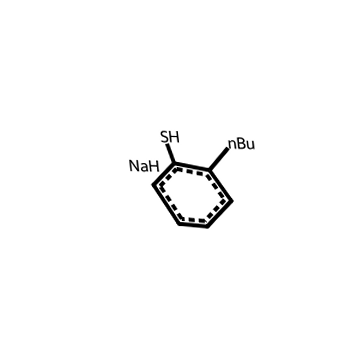 CCCCc1ccccc1S.[NaH]